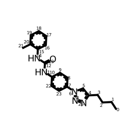 CCCCc1cn(-c2ccc(NC(=O)Nc3ccccc3C)cc2)nn1